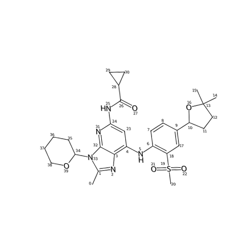 Cc1nc2c(Nc3ccc(C4CCC(C)(C)O4)cc3S(C)(=O)=O)cc(NC(=O)C3CC3)nc2n1C1CCCCO1